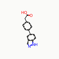 O=C(O)Cc1ccc(-c2ccc3[nH]ncc3c2)cc1